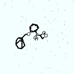 O=[PH](c1ccccc1OCC1C2CC3CC(C2)CC1C3)C1COO1